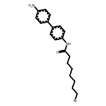 Nc1ccc(-c2ccc(NC(=O)CCCCCCCBr)cc2)cc1